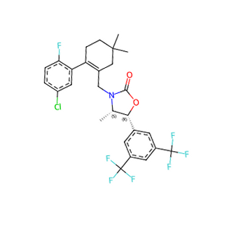 C[C@H]1[C@@H](c2cc(C(F)(F)F)cc(C(F)(F)F)c2)OC(=O)N1CC1=C(c2cc(Cl)ccc2F)CCC(C)(C)C1